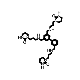 O=C1NCCCN1CCCNCc1cccc(-c2cc(CNCCCN3CCCNC3=O)cc(CNCCCN3CCCNC3=O)c2)c1